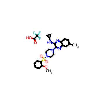 COc1ccccc1S(=O)(=O)N1CCN(c2nc3cc(C)ccc3nc2NC2CC2)CC1.O=C(O)C(F)(F)F